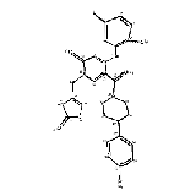 Cc1ccc(Cl)c(Nc2cc(=O)n(Cc3noc(=O)[nH]3)cc2C(=O)N2CCC(c3ccc(F)cc3)CC2)c1